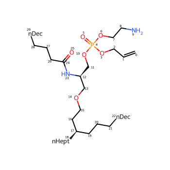 C=CCOP(=O)(OCCN)OC[C@@H](COCC[C@H](CCCCCCC)CCCCCCCCCCCCC)NC(=O)CCCCCCCCCCCCC